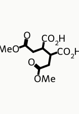 COC(=O)CC(C(=O)O)C(CC(=O)OC)C(=O)O